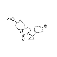 O=C1O[C@]2(CCN1C1(c3ccc(Br)cc3)CC1)CC[C@H](O)CC2